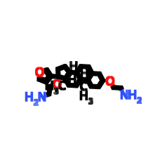 C[C@]12CC[C@H](OCCN)CC1=CC[C@@H]1[C@@H]2CC[C@@]2(C)[C@H]1CC[C@@]2(OCCN)c1ccoc1